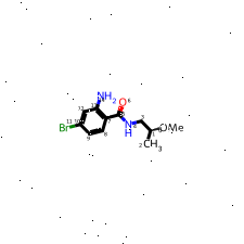 CO[C@@H](C)CNC(=O)c1ccc(Br)cc1N